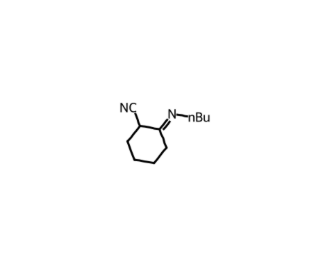 CCCCN=C1CCCCC1C#N